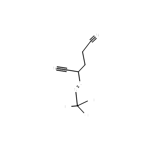 CC(C)(C)N=NC(C#N)CCC#N